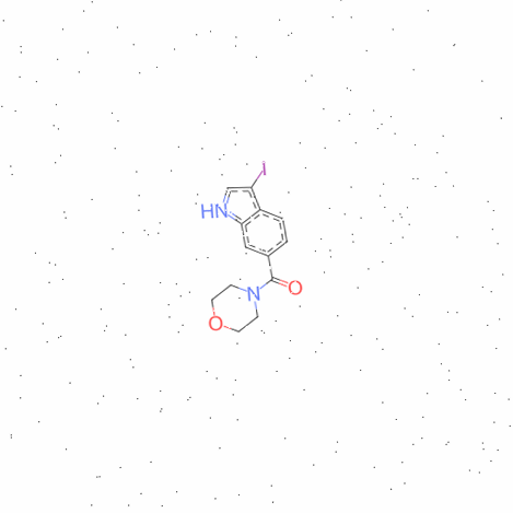 O=C(c1ccc2c(I)c[nH]c2c1)N1CCOCC1